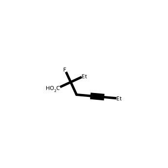 CCC#CCC(F)(CC)C(=O)O